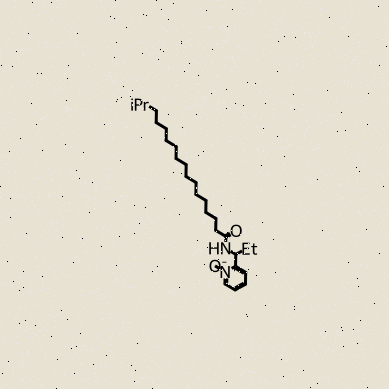 CCC(NC(=O)CCCCCCCCCCCCCCC(C)C)c1cccc[n+]1[O-]